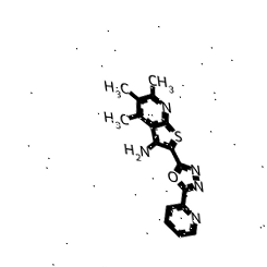 Cc1nc2sc(-c3nnc(-c4ccccn4)o3)c(N)c2c(C)c1C